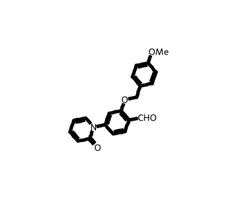 COc1ccc(COc2cc(-n3ccccc3=O)ccc2C=O)cc1